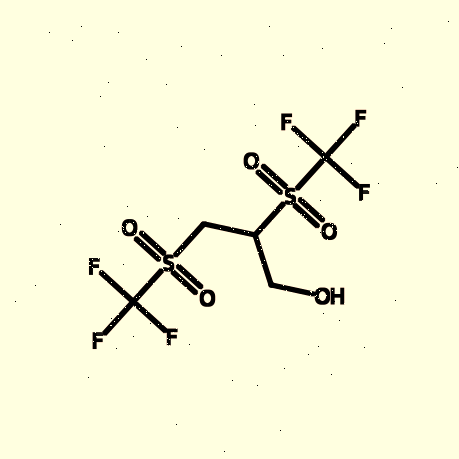 O=S(=O)(CC(CO)S(=O)(=O)C(F)(F)F)C(F)(F)F